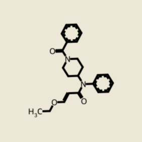 CCOC=CC(=O)N(c1ccccc1)C1CCN(C(=O)c2ccccc2)CC1